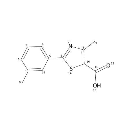 Cc1cccc(-c2nc(C)c(C(=O)O)s2)c1